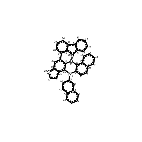 c1ccc2cc(N3c4ccc5ccccc5c4B4c5c(cc6sccc6c53)-c3cccc5c6ccccc6n4c35)ccc2c1